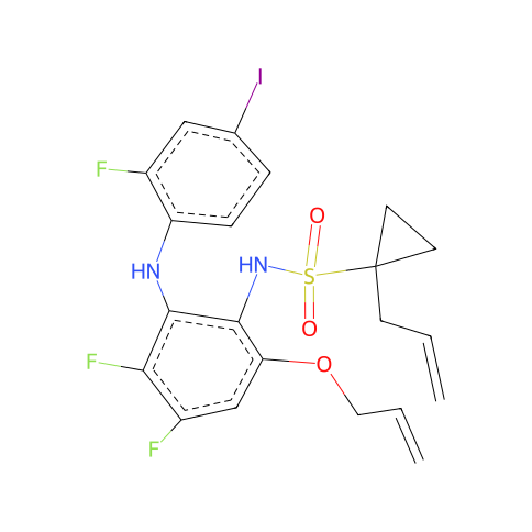 C=CCOc1cc(F)c(F)c(Nc2ccc(I)cc2F)c1NS(=O)(=O)C1(CC=C)CC1